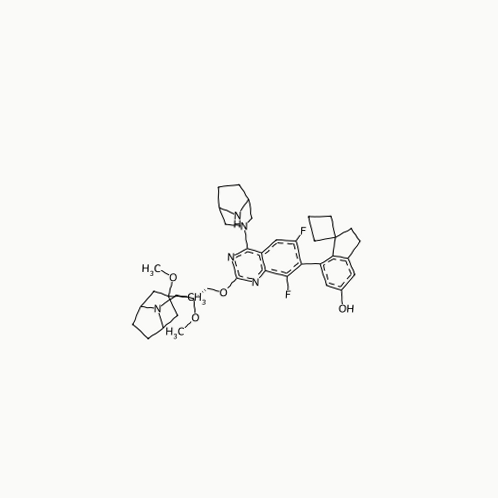 CO[C@@H](COc1nc(N2CC3CCC(C2)N3)c2cc(F)c(-c3cc(O)cc4c3C3(CCC3)CC4)c(F)c2n1)CN1C2CCC1CC(C)(OC)C2